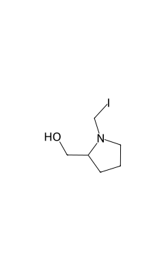 OCC1CCCN1CI